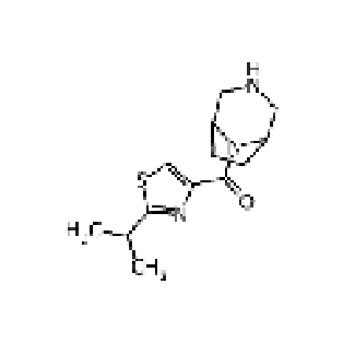 CC(C)c1nc(C(=O)N2C3CCC2CNC3)cs1